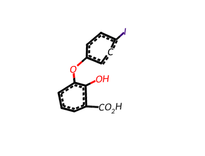 O=C(O)c1cccc(Oc2ccc(I)cc2)c1O